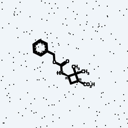 CC1(C)[C@@H](C(=O)O)C[C@H]1NC(=O)OCc1ccccc1